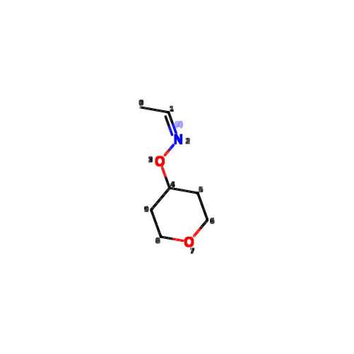 C/C=N\OC1CCOCC1